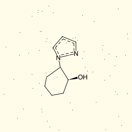 O[C@H]1CCCCC1n1cccn1